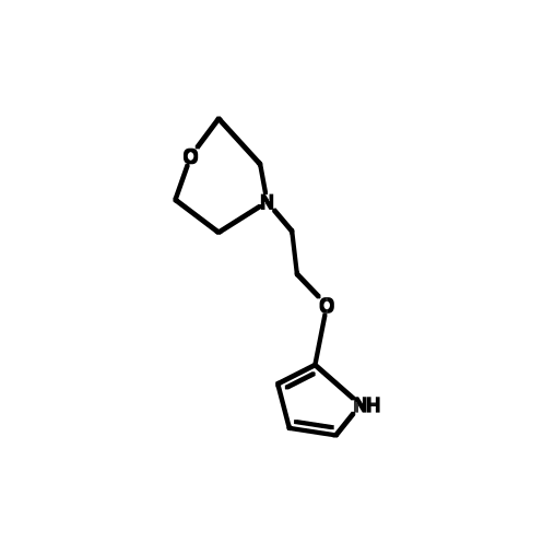 c1c[nH]c(OCCN2CCOCC2)c1